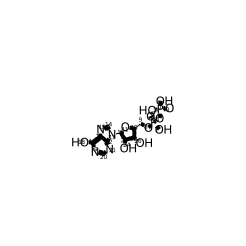 O=P(O)(O)OP(=O)(O)OC[C@H]1O[C@@H](n2cnc3c(O)ncnc32)C(O)C1O